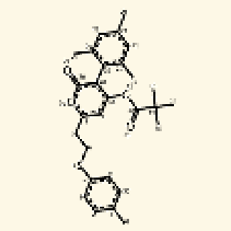 Cc1ccc(SCCc2cc(OC(=O)C(C)(C)C)c(-c3c(C)cc(C)cc3C)c(=O)o2)cc1